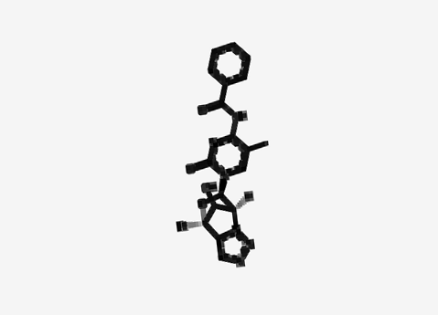 CC[C@]12O[C@@H](n3cc(C)c(NC(=O)c4ccccc4)nc3=O)[C@H](C1O)n1nncc12